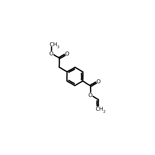 C=COC(=O)c1ccc(CC(=O)OC)cc1